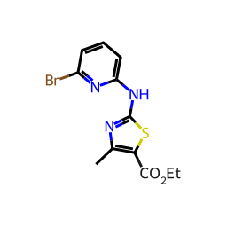 CCOC(=O)c1sc(Nc2cccc(Br)n2)nc1C